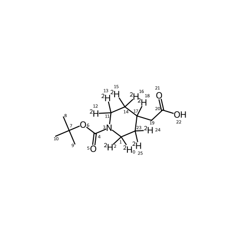 [2H]C1([2H])N(C(=O)OC(C)(C)C)C([2H])([2H])C([2H])([2H])C([2H])(CC(=O)O)C1([2H])[2H]